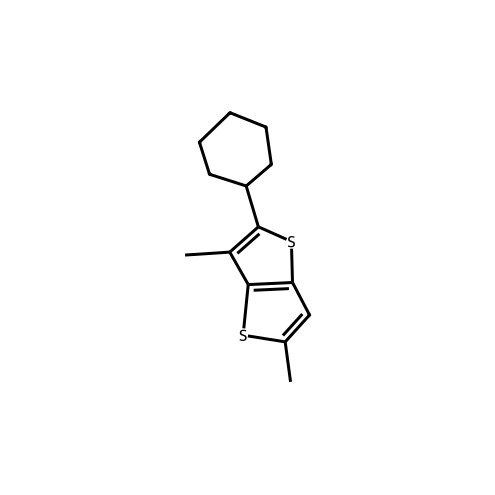 Cc1cc2sc(C3CCCCC3)c(C)c2s1